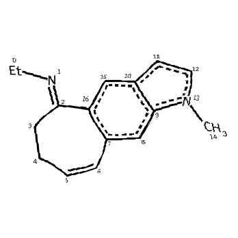 CCN=C1CCC=Cc2cc3c(ccn3C)cc21